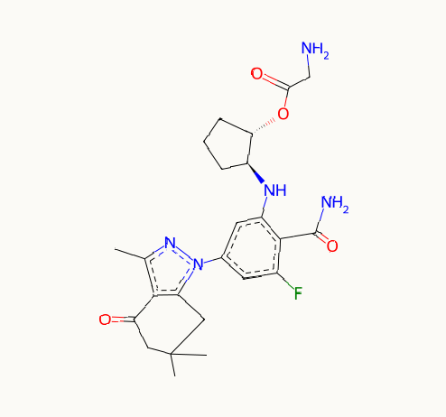 Cc1nn(-c2cc(F)c(C(N)=O)c(N[C@H]3CCC[C@@H]3OC(=O)CN)c2)c2c1C(=O)CC(C)(C)C2